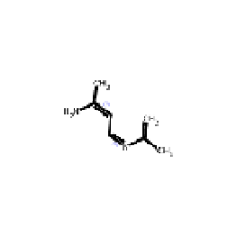 C=C(C)/N=C\C=C(\C)N